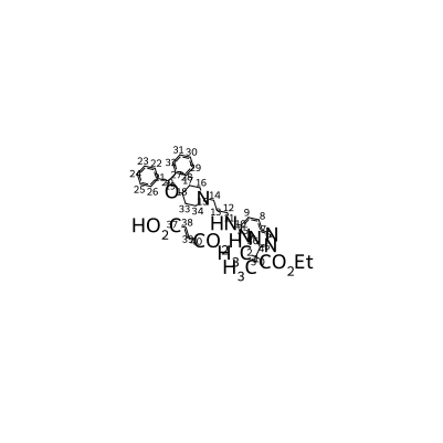 CCOC(=O)C(C)(C)c1nnc2ccc(NCCCN3CCC(OC(c4ccccc4)c4ccccc4)CC3)nn12.O=C(O)C=CC(=O)O